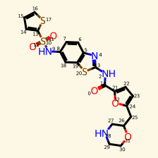 O=C(Nc1nc2ccc(NS(=O)(=O)c3cccs3)cc2s1)c1ccc(CC2CNCCO2)o1